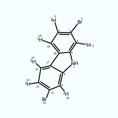 [2H]c1c(Br)c([2H])c2[nH]c3c([2H])c(Br)c([2H])c([2H])c3c2c1[2H]